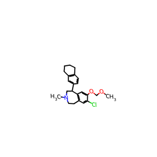 COCOc1cc2c(cc1Cl)CCN(C)CC2c1ccc2c(c1)CCCC2